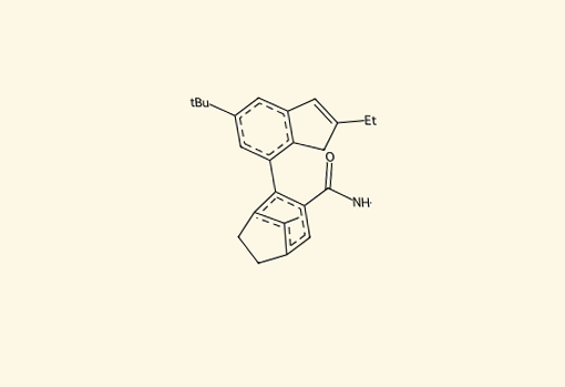 CCC1=Cc2cc(C(C)(C)C)cc(-c3c(C([NH])=O)cc4c(C)c3CC4)c2C1